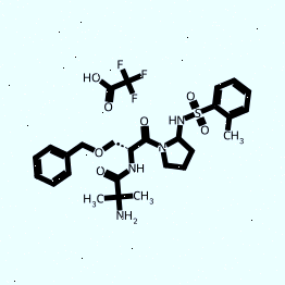 Cc1ccccc1S(=O)(=O)NC1CCCN1C(=O)[C@@H](COCc1ccccc1)NC(=O)C(C)(C)N.O=C(O)C(F)(F)F